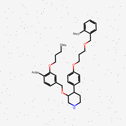 COCCCOc1cc(COC2CNCCC2c2ccc(OCCCOCc3ccccc3OC)cc2)ccc1NC(C)=O